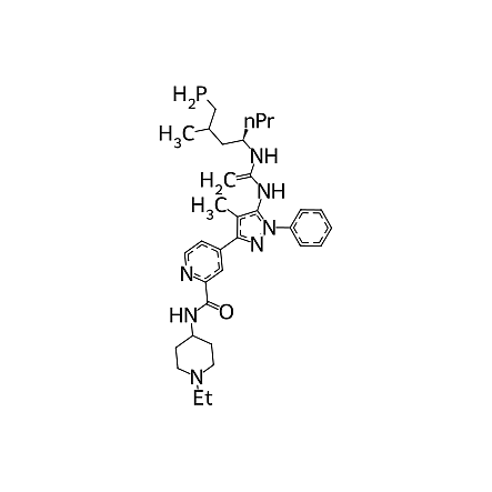 C=C(Nc1c(C)c(-c2ccnc(C(=O)NC3CCN(CC)CC3)c2)nn1-c1ccccc1)N[C@H](CCC)CC(C)CP